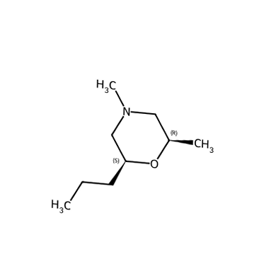 CCC[C@H]1CN(C)C[C@@H](C)O1